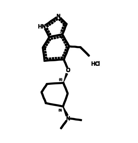 CCc1c(O[C@H]2CCC[C@H](N(C)C)C2)ccc2[nH]ncc12.Cl